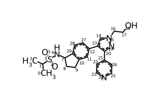 CC(C)S(=O)(=O)NC1CCc2cc(-c3cn(CCO)nc3-c3ccncc3)ccc21